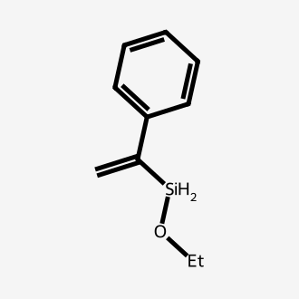 C=C([SiH2]OCC)c1ccccc1